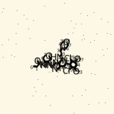 C=CC(=O)N[C@H]1CCOC[C@H]1Nc1ncc2cc(-c3c(Cl)c(OC)cc(OC)c3Cl)nc(NCCN3CCOCC3)c2n1